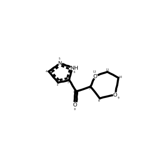 O=C(c1ccn[nH]1)C1COCCO1